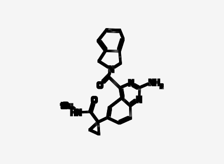 CC(C)(C)NC(=O)C1(c2ccc3nc(N)nc(C(=O)N4Cc5ccccc5C4)c3c2)CC1